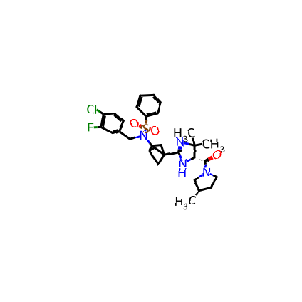 C[C@@H]1CCN(C(=O)[C@@H]2NC(C34CC(C3)C(N(Cc3ccc(Cl)c(F)c3)S(=O)(=O)c3ccccc3)C4)=NC2(C)C)C1